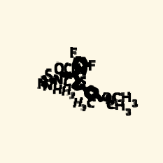 Cc1cc(-c2ccc(C(c3cc(F)cc(F)c3)C(C)(C)C(=O)Nc3nncs3)s2)ccc1CON(C)C